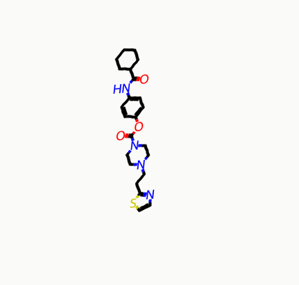 O=C(Nc1ccc(OC(=O)N2CCN(CCc3nccs3)CC2)cc1)C1CCCCC1